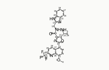 COc1ccc(-c2nc(C(=O)NCc3nc4ccccc4[nH]3)c([C@H](C)N)o2)c2ccc(C(F)(F)F)nc12